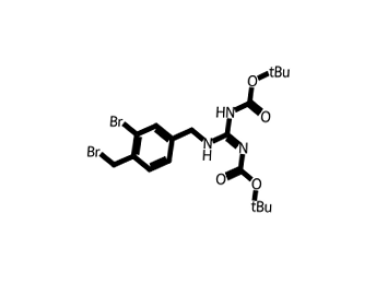 CC(C)(C)OC(=O)/N=C(\NCc1ccc(CBr)c(Br)c1)NC(=O)OC(C)(C)C